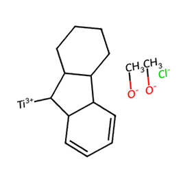 C[O-].C[O-].[Cl-].[Ti+3][CH]1C2C=CC=CC2C2CCCCC12